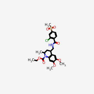 CCOC(=O)N1c2cc(OC)c(OC)cc2C(CNC(=O)c2ccc(S(C)(=O)=O)cc2Cl)CC1C